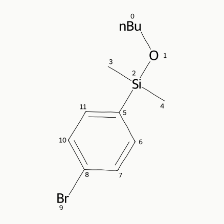 CCCCO[Si](C)(C)c1ccc(Br)cc1